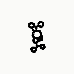 Cc1ccc2ccc(N(c3ccccc3)c3ccccc3)c3ccc(ccc1N(C1=CCCC=C1)c1ccccc1)c(C)c23